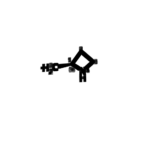 [CH2][C@H]1CCN1